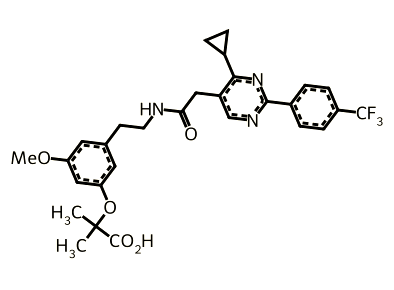 COc1cc(CCNC(=O)Cc2cnc(-c3ccc(C(F)(F)F)cc3)nc2C2CC2)cc(OC(C)(C)C(=O)O)c1